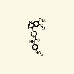 CCOc1cc2ncnc(N3CCN(C(=O)Nc4ccc([N+](=O)[O-])cc4)CC3)c2cc1OCC